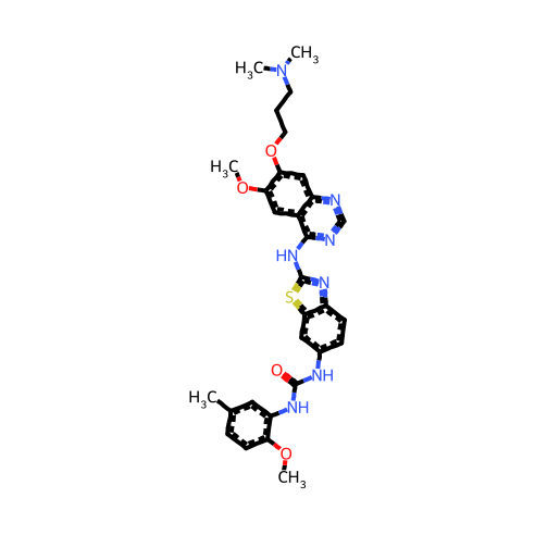 COc1ccc(C)cc1NC(=O)Nc1ccc2nc(Nc3ncnc4cc(OCCCN(C)C)c(OC)cc34)sc2c1